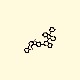 c1ccc(-c2c3ccccc3c(-c3cc(-c4ccc5c(c4)oc4ccc6c7ccccc7oc6c45)cc4ccccc34)c3ccccc23)cc1